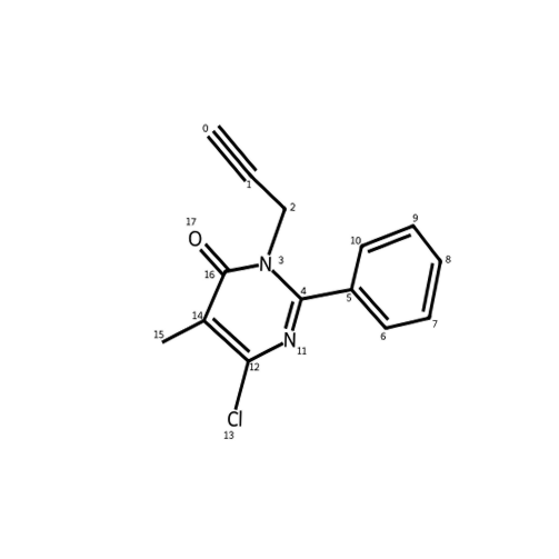 C#CCn1c(-c2ccccc2)nc(Cl)c(C)c1=O